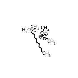 CCCCCCCCCC[N+](C)(C)C.CCOP(=O)([O-])OCC